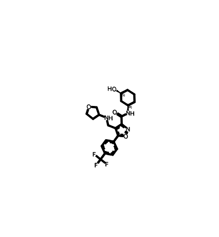 O=C(N[C@@H]1CCC[C@H](O)C1)c1noc(-c2ccc(C(F)(F)F)cc2)c1CNC1CCOC1